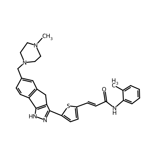 Cc1ccccc1NC(=O)/C=C/c1ccc(-c2n[nH]c3c2Cc2cc(CN4CCN(C)CC4)ccc2-3)s1